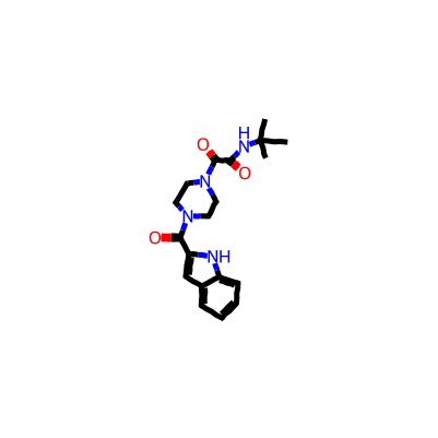 CC(C)(C)NC(=O)C(=O)N1CCN(C(=O)c2cc3ccccc3[nH]2)CC1